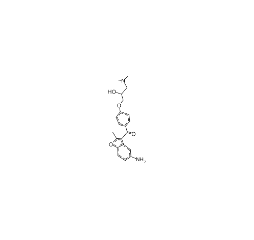 Cc1oc2ccc(N)cc2c1C(=O)c1ccc(OCC(O)CN(C)C)cc1